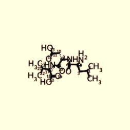 CC(C)C[C@H](N)C(=O)N[C@@H](CC(=O)O)C(=O)N[C@H](C(=O)O)C(C)C